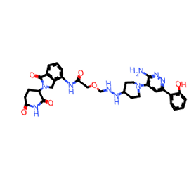 Nc1nnc(-c2ccccc2O)cc1N1CCC(NNCOCC(=O)Nc2cccc3c2CN(C2CCC(=O)NC2=O)C3=O)CC1